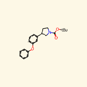 CC(C)(C)OC(=O)N1CCC(c2cc[c]c(Oc3ccccc3)c2)C1